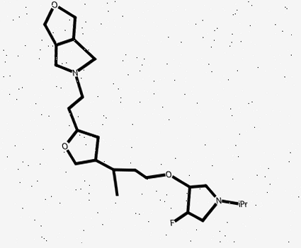 CC(CCOC1CN(C(C)C)CC1F)C1COC(CCN2CC3COCC3C2)C1